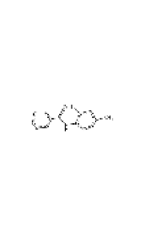 Cc1ccc(NC(=O)c2cccnc2)c(F)c1